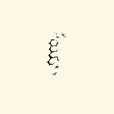 CC(C)(C)OC(=O)N1CCC(CC(CBr)CC2CCN(C(=O)OC(C)(C)C)CC2)CC1